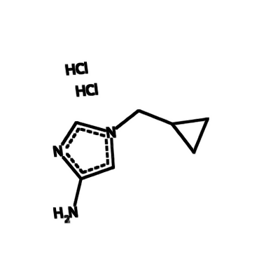 Cl.Cl.Nc1cn(CC2CC2)cn1